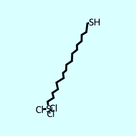 SCCCCCCCCCCCCCCCCC[Si](Cl)(Cl)Cl